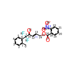 Cc1ccccc1C(F)(F)C(=O)/C=C/COC(=O)c1ccccc1[N+](=O)[O-]